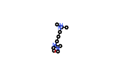 C1=C(c2ccccc2)CN=C(c2ccccc2)N=C1c1ccc(-c2ccc(-c3ccc(-c4nc5ccc6ccccc6c5c5c4c4ccccc4n5-c4ccccc4)cc3)cc2)cc1